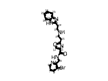 O=C(NCc1ncccc1Br)c1coc(CCNCCc2nc3ccccc3[nH]2)n1